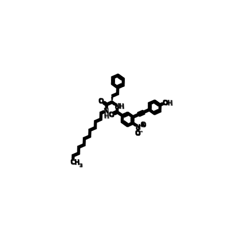 CCCCCCCCCCCCNC(=O)[C@H](CCc1ccccc1)NC(=O)c1ccc([N+](=O)[O-])c(C#Cc2ccc(O)cc2)c1